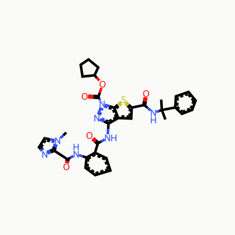 Cn1ccnc1C(=O)Nc1ccccc1C(=O)Nc1nn(C(=O)OC2CCCC2)c2sc(C(=O)NC(C)(C)c3ccccc3)cc12